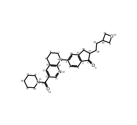 O=C1c2ccc(N3CCCc4cc(C(=O)N5CCCCC5)cnc43)cc2CC1CCC1COC1